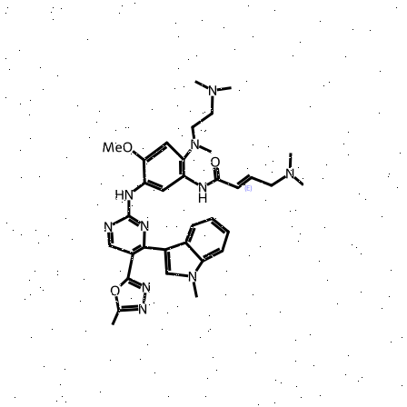 COc1cc(N(C)CCN(C)C)c(NC(=O)/C=C/CN(C)C)cc1Nc1ncc(-c2nnc(C)o2)c(-c2cn(C)c3ccccc23)n1